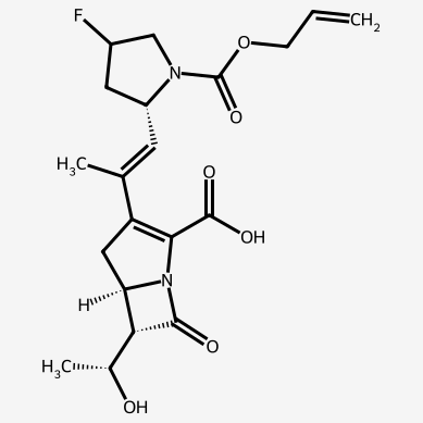 C=CCOC(=O)N1CC(F)C[C@H]1/C=C(\C)C1=C(C(=O)O)N2C(=O)[C@H]([C@@H](C)O)[C@H]2C1